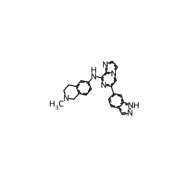 CN1CCc2cc(Nc3nc(-c4ccc5cn[nH]c5c4)cn4ccnc34)ccc2C1